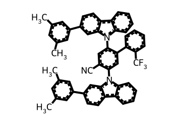 Cc1cc(C)cc(-c2ccc3c4ccccc4n(-c4cc(-c5ccccc5C(F)(F)F)c(-n5c6ccccc6c6ccc(-c7cc(C)cc(C)c7)cc65)cc4C#N)c3c2)c1